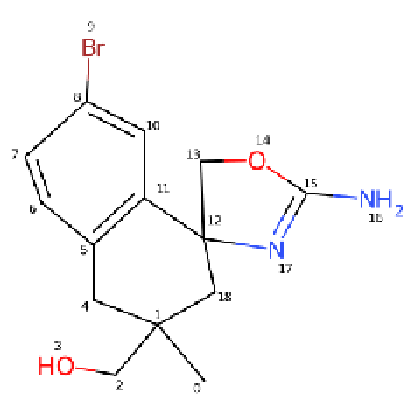 CC1(CO)Cc2ccc(Br)cc2C2(COC(N)=N2)C1